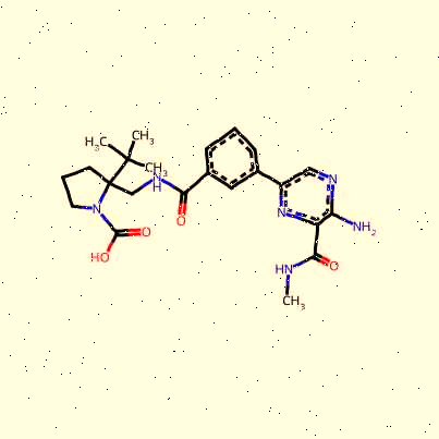 CNC(=O)c1nc(-c2cccc(C(=O)NCC3(C(C)(C)C)CCCN3C(=O)O)c2)cnc1N